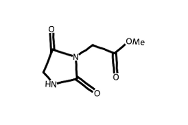 COC(=O)CN1C(=O)CNC1=O